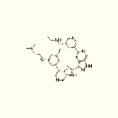 CCNCc1cncc(-c2cc3c(-c4nc5c(-c6cc(F)cc(OCCN(C)C)c6)cncc5[nH]4)n[nH]c3cn2)c1